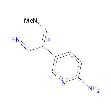 CN/C=C(\C=N)c1ccc(N)nc1